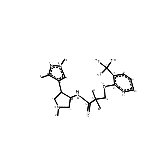 Cc1nn(C)cc1C1CN(C)CC1NC(=O)C(C)(C)COc1ncccc1C(F)(F)F